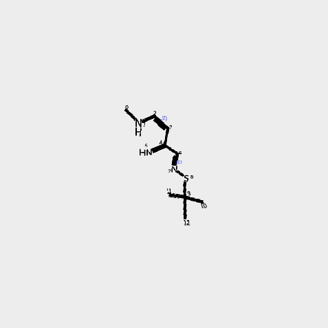 CN/C=C\C(=N)/C=N/SC(C)(C)C